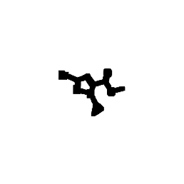 COC(=O)c1cc(Br)nn1C1CC1